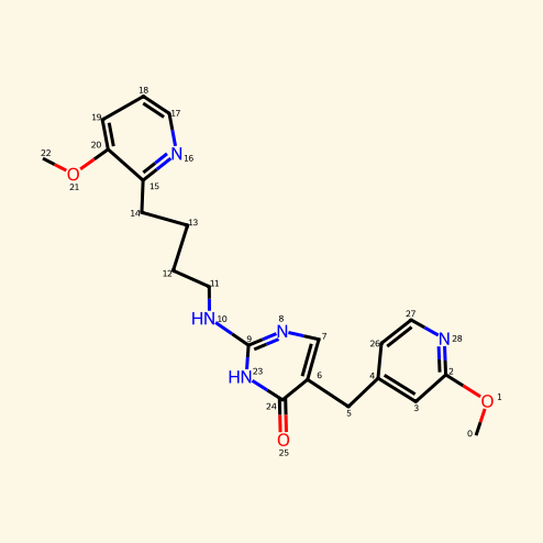 COc1cc(Cc2cnc(NCCCCc3ncccc3OC)[nH]c2=O)ccn1